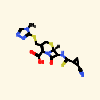 Cn1cnnc1SCC1=C(C(=O)O)N2C(=O)C(NC(=S)[C@H]3C[C@H]3C#N)[C@@H]2SC1